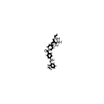 CCN/C=C(\C=N)CC1(O)CCN(C(=O)c2ccc(NSc3cccc4scnc34)cc2)CC1